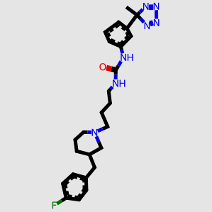 CC1(c2cccc(NC(=O)NCCCCN3CCCC(Cc4ccc(F)cc4)C3)c2)N=NN=N1